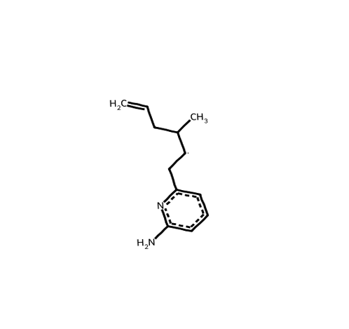 C=CCC(C)[CH]Cc1cccc(N)n1